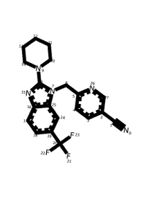 N#Cc1ccc(Cn2c(N3CCCCC3)nc3ccc(C(F)(F)F)cc32)nc1